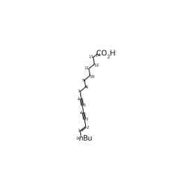 CCCC/C=C/C#CC#CCCCCCCCC(=O)O